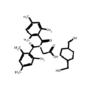 Cc1cc(C)c(C(=O)P(CC(=O)O)C(=O)c2c(C)cc(C)cc2C)c(C)c1.OCC1CCC(CO)CC1